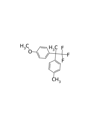 COc1ccc(C(C)(c2ccc(C)cc2)C(F)(F)F)cc1